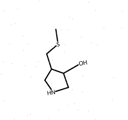 CSCC1CNCC1O